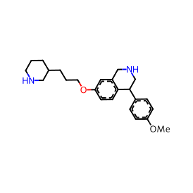 COc1ccc(C2CNCc3cc(OCCCC4CCCNC4)ccc32)cc1